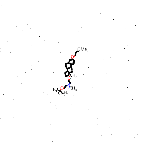 COCCCOc1ccc2c(c1)CCC1C2CC[C@@]2(C)C1CC[C@@H]2OCCN(C)CCOC(C)(C)C(F)(F)F